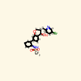 O=S(=O)(Nc1ccccc1-c1ccc2c(c1)OC[C@H](Cc1ccc(Br)cn1)C2O)C(F)(F)F